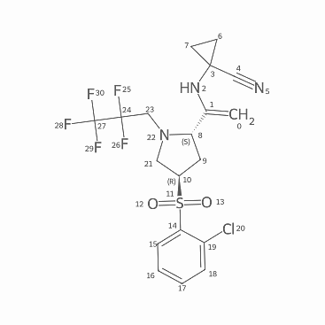 C=C(NC1(C#N)CC1)[C@@H]1C[C@@H](S(=O)(=O)c2ccccc2Cl)CN1CC(F)(F)C(F)(F)F